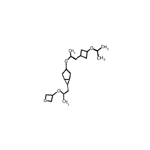 CC(C)OC1CC(CC(C)OC2CC3C(CC(C)OC4COC4)C3C2)C1